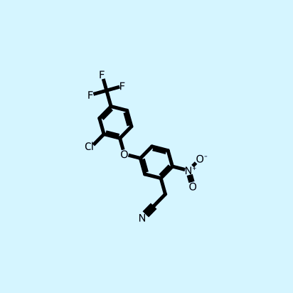 N#CCc1cc(Oc2ccc(C(F)(F)F)cc2Cl)ccc1[N+](=O)[O-]